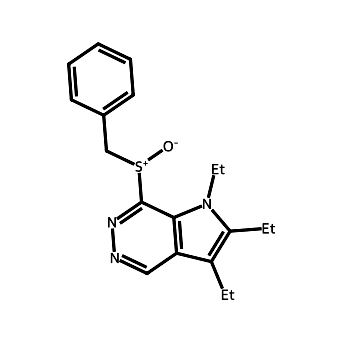 CCc1c(CC)n(CC)c2c([S+]([O-])Cc3ccccc3)nncc12